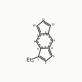 [CH2]CC1=CC=c2cc3c(cc21)=CC=C3